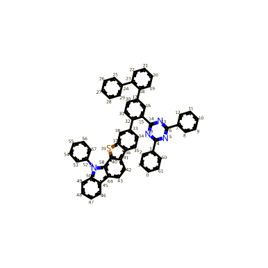 c1ccc(-c2nc(-c3ccccc3)nc(-c3cc(-c4ccccc4-c4ccccc4)ccc3-c3ccc4c(c3)sc3c4ccc4c5ccccc5n(-c5ccccc5)c43)n2)cc1